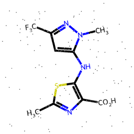 Cc1nc(C(=O)O)c(Nc2cc(C(F)(F)F)nn2C)s1